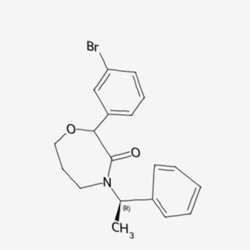 C[C@H](c1ccccc1)N1CCCOC(c2cccc(Br)c2)C1=O